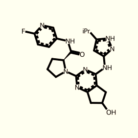 CC(C)c1cc(Nc2nc(N3CCC[C@H]3C(=O)Nc3ccc(F)nc3)nc3c2CC(O)C3)n[nH]1